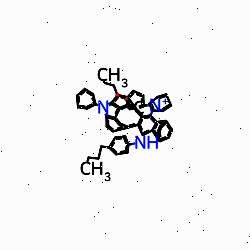 CCCCc1ccc(Nc2c3c4ccc(cc4)c3c([N+]3(c4ccc(CCCC)cc4)C4=CC=C3C=C4)c3c4ccc5c(c4)c4cc(ccc4n5-c4ccccc4)c23)cc1